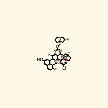 C#Cc1c(F)ccc2cc(O)cc(-c3nc(-c4cncc(Cl)c4)c4c(N5C[C@H]6CC[C@@H](C5)N6)nc(OC[C@@]56CCCN5C[C@H](F)C6)nc4c3F)c12